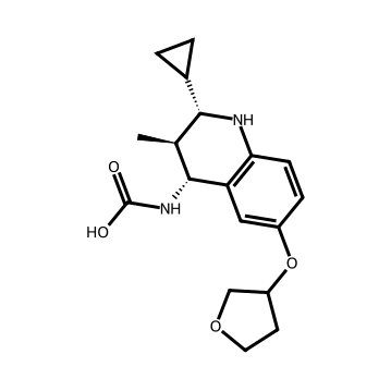 C[C@@H]1[C@@H](NC(=O)O)c2cc(OC3CCOC3)ccc2N[C@H]1C1CC1